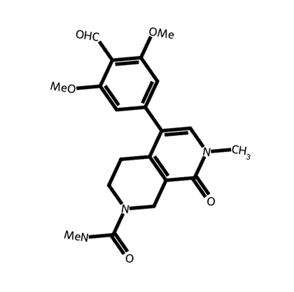 CNC(=O)N1CCc2c(-c3cc(OC)c(C=O)c(OC)c3)cn(C)c(=O)c2C1